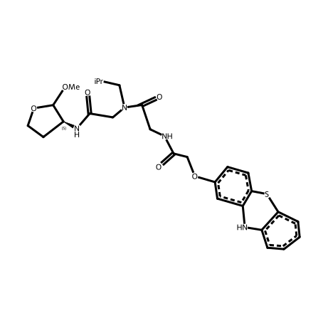 COC1OCC[C@@H]1NC(=O)CN(CC(C)C)C(=O)CNC(=O)COc1ccc2c(c1)Nc1ccccc1S2